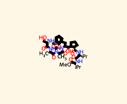 COC(=O)[C@@H](NC(=O)[C@@H](NC(=O)[C@@H]1CCCC1C(O)C(Cc1ccccc1)NC(=O)[C@H](C)N(C(=O)OC(C)(C)C)C(=O)[C@H](C)NC(=O)[C@@H](N)CO)C(C)C)C(C)C